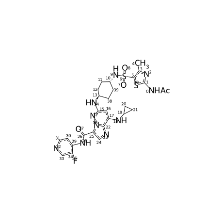 CC(=O)Nc1nc(C)c(S(=O)(=O)N[C@H]2CC[C@H](Nc3cc(NC4CC4)c4ncc(C(=O)Nc5ccncc5F)n4n3)CC2)s1